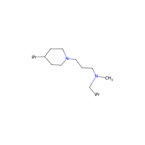 CC(C)CN(C)CCCN1CCC(C(C)C)CC1